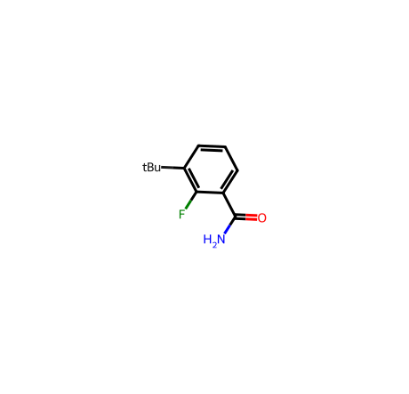 CC(C)(C)c1cccc(C(N)=O)c1F